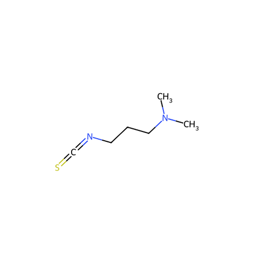 CN(C)CCCN=C=S